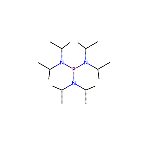 CC(C)N(C(C)C)P(N(C(C)C)C(C)C)N(C(C)C)C(C)C